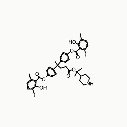 CC(CCC(=O)OC(C)(C)C1CCNCC1)(c1ccc(OC(=O)c2c(I)ccc(I)c2O)cc1)c1ccc(OC(=O)c2c(I)ccc(I)c2O)cc1